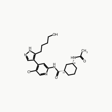 CC(=O)N[C@@H]1CCC[C@H](C(=O)Nc2cc(-c3cn[nH]c3CCCCO)c(Cl)cn2)C1